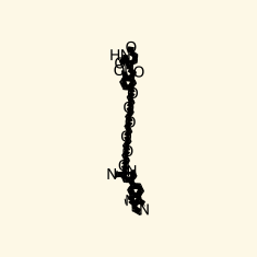 Cn1c2ccncc2c2ccc(-c3cnc(OCCOCCOCCOCCOCCOc4ccc5c(c4)C(=O)N(C4CCC(=O)NC4=O)C5=O)c(C#N)c3)cc21